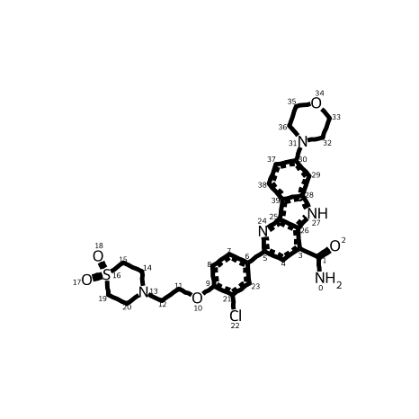 NC(=O)c1cc(-c2ccc(OCCN3CCS(=O)(=O)CC3)c(Cl)c2)nc2c1[nH]c1cc(N3CCOCC3)ccc12